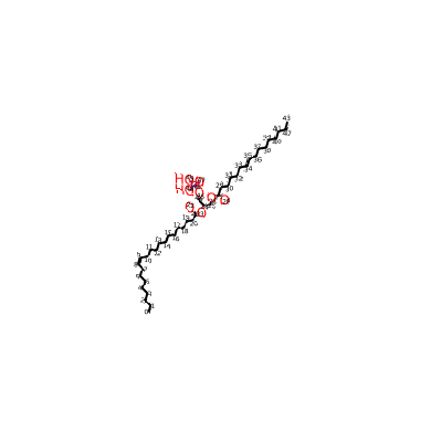 CCCCCCCC/C=C\CCCCCCCCCCCC(=O)O[C@H](COC(=O)CCCCCCCCCCCCCCC)COP(=O)(O)O